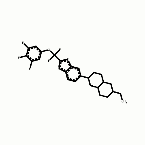 CCC1CCC2CC(c3ccc4nc(C(F)(F)Oc5cc(F)c(F)c(F)c5)sc4c3)CCC2C1